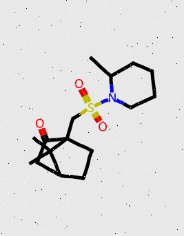 CC1CCCCN1S(=O)(=O)CC12CCC(CC1=O)C2(C)C